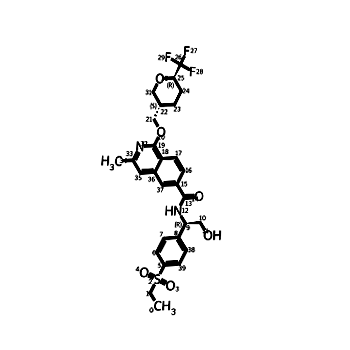 CCS(=O)(=O)c1ccc([C@H](CO)NC(=O)c2ccc3c(OC[C@H]4CC[C@H](C(F)(F)F)OC4)nc(C)cc3c2)cc1